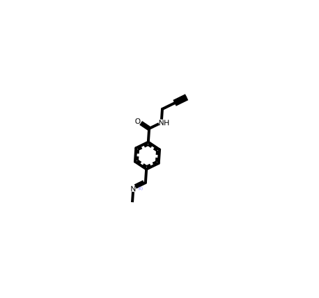 C#CCNC(=O)c1ccc(/C=N/C)cc1